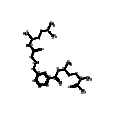 CC(CCN(C)C)NC(=O)CNCc1cc(C(=O)OC(C)CCN(C)C(=O)C(F)(F)F)ccn1